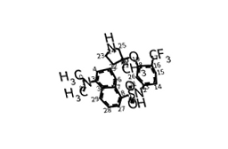 CN(C)c1cccc2c(S(=O)(=O)Nc3ccc(C(F)(F)F)c(O[C@]4(C)CCNC4)c3)cccc12